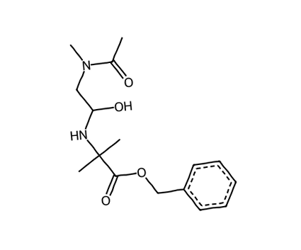 CC(=O)N(C)CC(O)NC(C)(C)C(=O)OCc1ccccc1